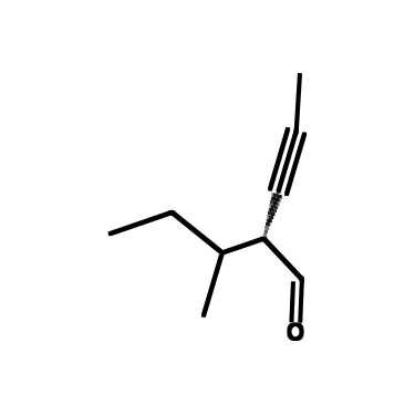 CC#C[C@H](C=O)C(C)CC